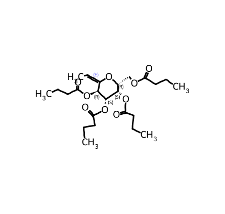 C/C=C1/O[C@H](COC(=O)CCC)[C@H](OC(=O)CCC)[C@H](OC(=O)CCC)[C@H]1OC(=O)CCC